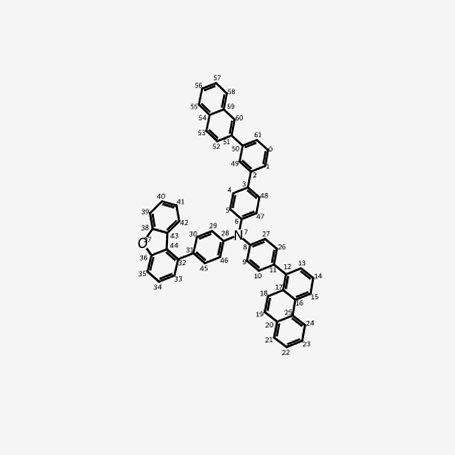 c1cc(-c2ccc(N(c3ccc(-c4cccc5c4ccc4ccccc45)cc3)c3ccc(-c4cccc5oc6ccccc6c45)cc3)cc2)cc(-c2ccc3ccccc3c2)c1